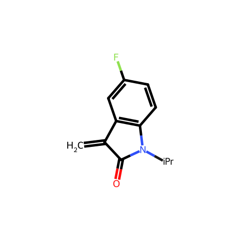 C=C1C(=O)N(C(C)C)c2ccc(F)cc21